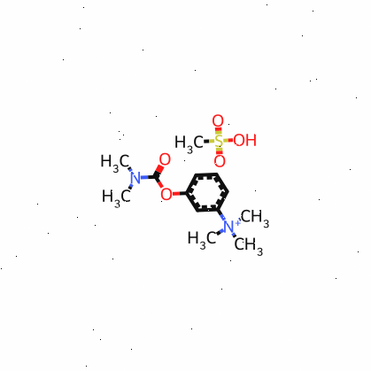 CN(C)C(=O)Oc1cccc([N+](C)(C)C)c1.CS(=O)(=O)O